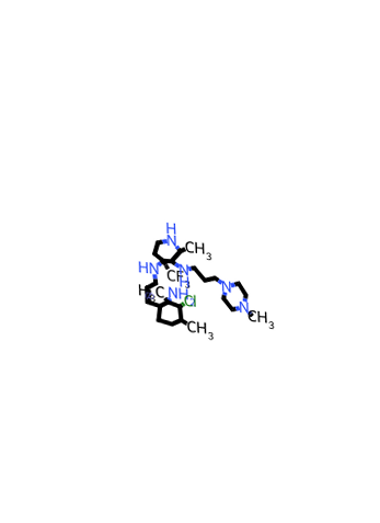 CC1CCC(/C=C\CNC2(C(F)(F)F)CCNC(C)C2NCCCN2CCN(C)CC2)C(C)(N)C1Cl